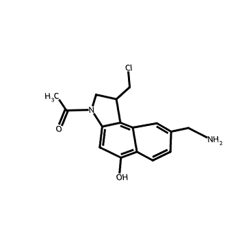 CC(=O)N1CC(CCl)c2c1cc(O)c1ccc(CN)cc21